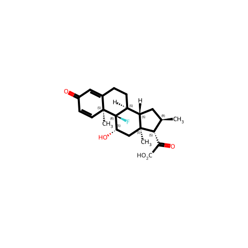 C[C@@H]1C[C@H]2[C@@H]3CCC4=CC(=O)C=C[C@]4(C)[C@@]3(F)[C@@H](O)C[C@]2(C)[C@H]1C(=O)C(=O)O